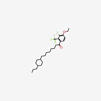 CCCC1CCC(CCCCCCCC(=O)c2ccc(OCC)c(F)c2C(F)(F)F)CC1